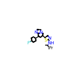 CC(C)C(C)Nc1ncc(-c2cc(-c3ccc(F)cc3)c3nccn3c2)s1